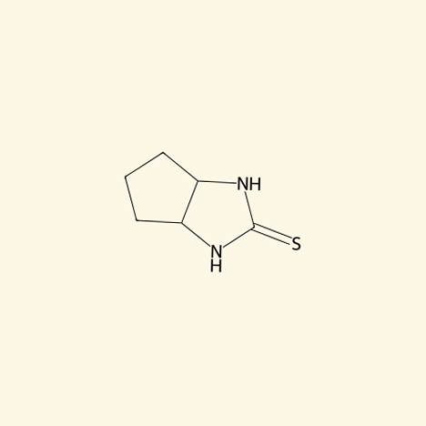 S=C1NC2CCCC2N1